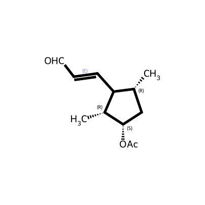 CC(=O)O[C@H]1C[C@@H](C)C(/C=C/C=O)[C@H]1C